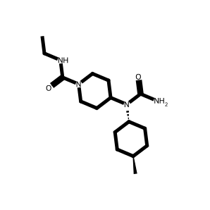 CCNC(=O)N1CCC(N(C(N)=O)[C@H]2CC[C@H](C)CC2)CC1